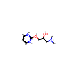 CN(C)CC(O)COc1ncccn1